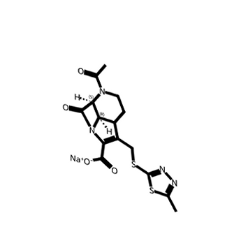 CC(=O)N1CCC2C(CSc3nnc(C)s3)=C(C(=O)[O-])N3C(=O)[C@@H]1[C@@H]23.[Na+]